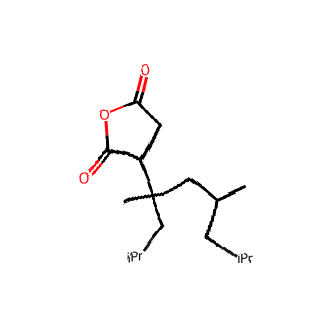 CC(C)CC(C)CC(C)(CC(C)C)C1CC(=O)OC1=O